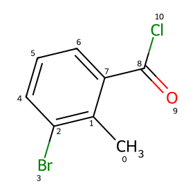 Cc1c(Br)cccc1C(=O)Cl